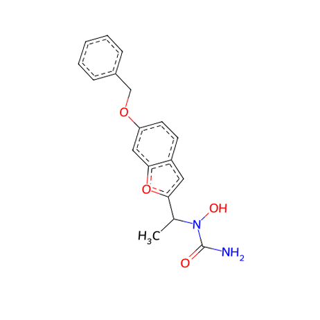 CC(c1cc2ccc(OCc3ccccc3)cc2o1)N(O)C(N)=O